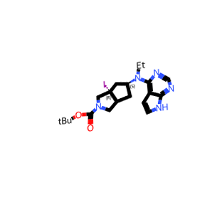 CCN(c1ncnc2[nH]ccc12)[C@H]1CC2CN(C(=O)OC(C)(C)C)C[C@@]2(I)C1